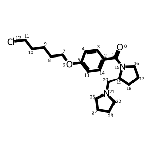 O=C(c1ccc(OCCCCCCl)cc1)N1CCC[C@H]1CN1CCCC1